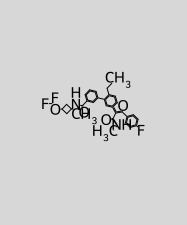 CCCc1cc2oc(-c3ccc(F)cc3)c(C(=O)NC)c2cc1-c1cccc(C(=O)NC2(C)CC(OC(F)F)C2)c1